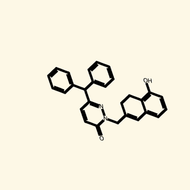 O=c1ccc(C(c2ccccc2)c2ccccc2)nn1CC1=Cc2cccc(O)c2CC1